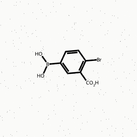 O=C(O)c1cc(B(O)O)ccc1Br